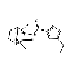 CSc1cnn(C(=O)N[C@@H]2C3CCN(CC3)[C@H]2C)c1